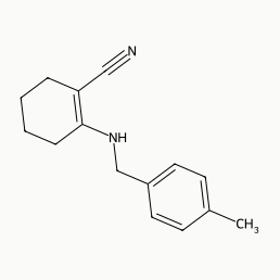 Cc1ccc(CNC2=C(C#N)CCCC2)cc1